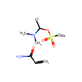 C=CC(N)=O.CCC(OS(=O)(=O)OC)N(C)C